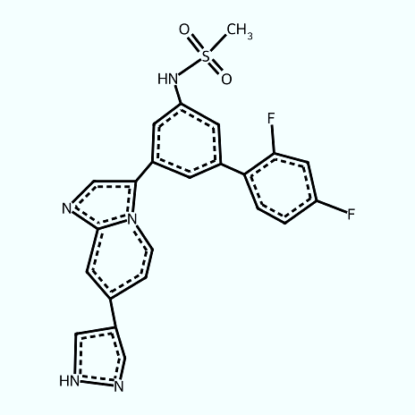 CS(=O)(=O)Nc1cc(-c2ccc(F)cc2F)cc(-c2cnc3cc(-c4cn[nH]c4)ccn23)c1